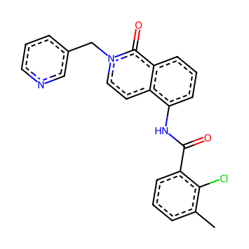 Cc1cccc(C(=O)Nc2cccc3c(=O)n(Cc4cccnc4)ccc23)c1Cl